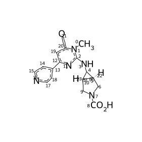 Cn1c(NC2[C@H]3CN(C(=O)O)C[C@@H]23)nc(-c2ccncc2)cc1=O